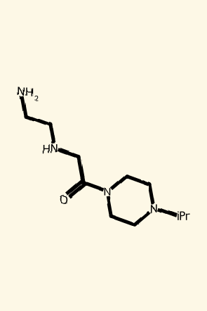 CC(C)N1CCN(C(=O)CNCCN)CC1